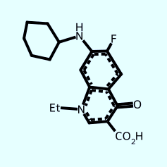 CCn1cc(C(=O)O)c(=O)c2cc(F)c(NC3CCCCC3)cc21